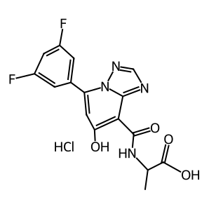 CC(NC(=O)c1c(O)cc(-c2cc(F)cc(F)c2)n2ncnc12)C(=O)O.Cl